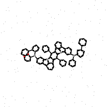 c1ccc(-c2cccc(N(c3ccccc3)c3ccc4c5cccc6c7c(-c8ccccc8)c8c(c(-c9ccccc9)c7n(c4c3)c56)c3cccc4c5ccc(N(c6ccccc6)c6ccccc6-c6ccccc6)cc5n8c43)c2)cc1